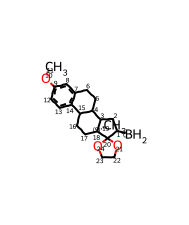 BC1CC2C3CCc4cc(OC)ccc4C3CC[C@]2(C)C12OCCO2